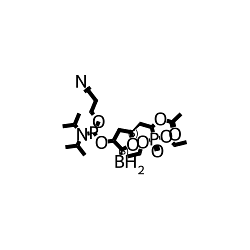 B[C@@H]1O[C@H](CC(OC(C)=O)P(=O)(OCC)OCC)CC1OP(OCCC#N)N(C(C)C)C(C)C